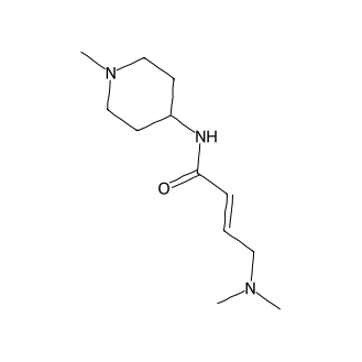 CN(C)C/C=C/C(=O)NC1CCN(C)CC1